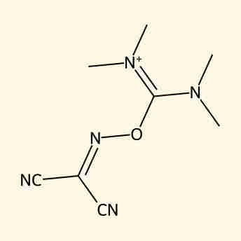 CN(C)C(ON=C(C#N)C#N)=[N+](C)C